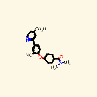 CN(C)C(=O)C1CCC(Oc2ccc(-c3cc(C(=O)O)ccn3)cc2C#N)CC1